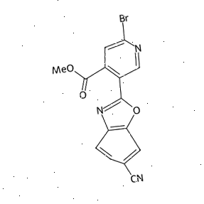 COC(=O)c1cc(Br)ncc1-c1nc2ccc(C#N)cc2o1